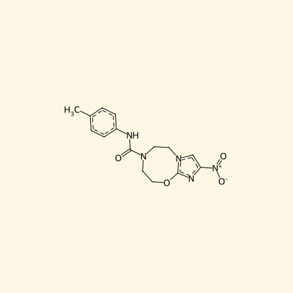 Cc1ccc(NC(=O)N2CCOc3nc([N+](=O)[O-])cn3CC2)cc1